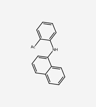 CC(=O)c1ccccc1Nc1cccc2ccccc12